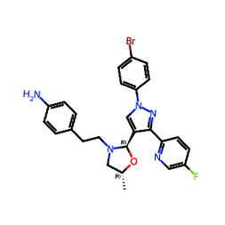 C[C@@H]1CN(CCc2ccc(N)cc2)[C@@H](c2cn(-c3ccc(Br)cc3)nc2-c2ccc(F)cn2)O1